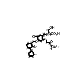 CONC(=O)COc1cc(OCc2cccc(-c3ccccc3)c2Br)c(Cl)cc1CN[C@@H](CO)C(=O)O